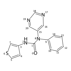 O=C(Nc1ccsc1)N(c1ccccc1)c1cncnc1